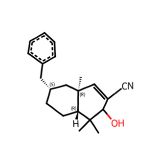 CC1(C)C(O)C(C#N)=C[C@]2(C)C[C@@H](Cc3ccccc3)CC[C@@H]12